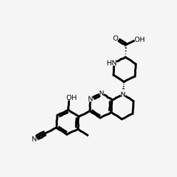 Cc1cc(C#N)cc(O)c1-c1cc2c(nn1)N([C@H]1CC[C@@H](C(=O)O)NC1)CCC2